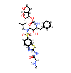 CC(C)CN(CC(O)C(Cc1ccccc1)NC(=O)OC1COC2OCCC12)S(=O)(=O)c1ccc2nc(NC(=O)CN(C)C)sc2c1